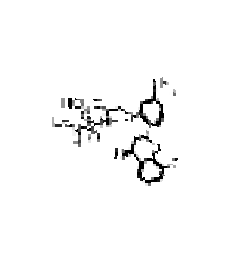 CCNS(=O)(=O)N[C@H](COc1cc(C(F)(F)F)ccc1[C@H]1CC(=O)c2cccc(Cl)c2O1)C(=O)O